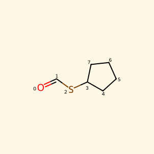 O=CSC1CCCC1